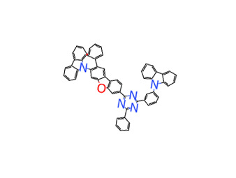 c1ccc(-c2nc(-c3cccc(-n4c5ccccc5c5ccccc54)c3)nc(-c3ccc4c(c3)oc3cc(-n5c6ccccc6c6ccccc65)c(-c5ccccc5)cc34)n2)cc1